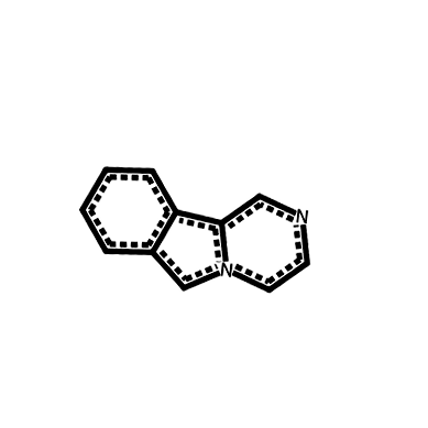 c1ccc2c(c1)cn1ccncc21